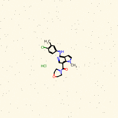 Cc1cc(Nc2ncc(C(=O)N3CCOCC3)c3c2ccn3C)ccc1Cl.Cl